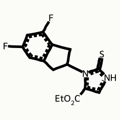 CCOC(=O)c1c[nH]c(=S)n1C1Cc2cc(F)cc(F)c2C1